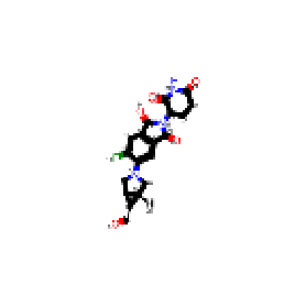 O=C[C@H]1C2CN(c3cc4c(cc3F)C(=O)N(C3CCC(=O)NC3=O)C4=O)C[C@@H]21